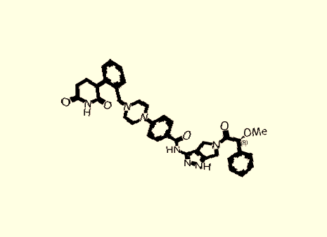 CO[C@@H](C(=O)N1Cc2[nH]nc(NC(=O)c3ccc(N4CCN(Cc5ccccc5C5CCC(=O)NC5=O)CC4)cc3)c2C1)c1ccccc1